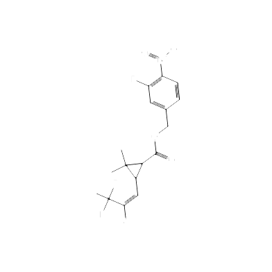 CC1(C)C(/C=C(/Cl)C(F)(F)F)C1C(=O)OCc1ccc([N+](=O)[O-])c(F)c1